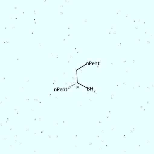 B[C@H](CCCCC)CCCCCC